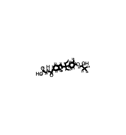 CCC(CC)(c1ccc(OCC(O)C(C)(C)C)c(C)c1)c1cc2ccc(C(=O)NCC(=O)O)cc2s1